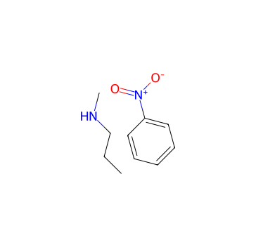 CCCNC.O=[N+]([O-])c1ccccc1